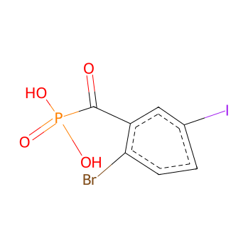 O=C(c1cc(I)ccc1Br)P(=O)(O)O